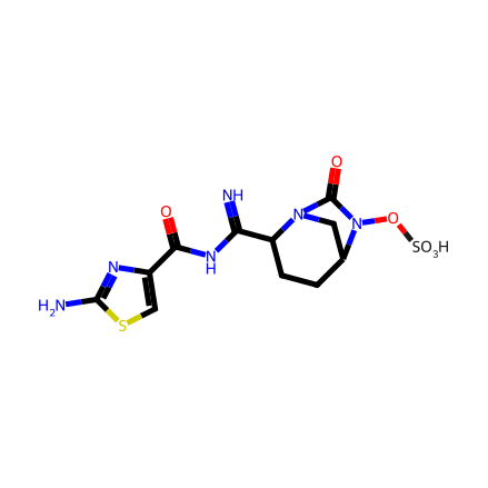 N=C(NC(=O)c1csc(N)n1)C1CCC2CN1C(=O)N2OS(=O)(=O)O